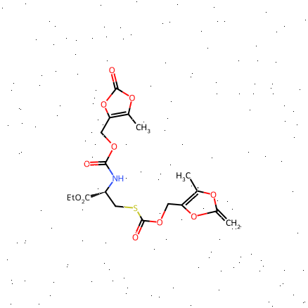 C=C1OC(C)=C(COC(=O)SC[C@H](NC(=O)OCc2oc(=O)oc2C)C(=O)OCC)O1